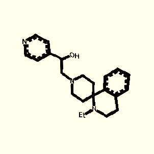 CCN1CCc2ccccc2C12CCN(CC(O)c1ccncc1)CC2